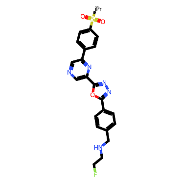 CC(C)S(=O)(=O)c1ccc(-c2cncc(-c3nnc(-c4ccc(CNCCF)cc4)o3)n2)cc1